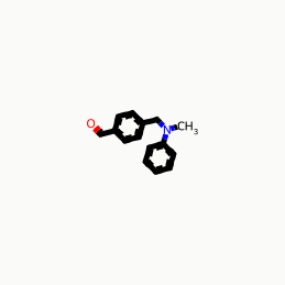 CN(Cc1ccc(C=O)cc1)c1ccccc1